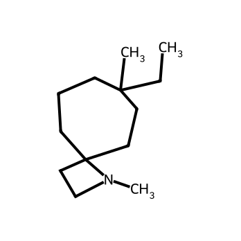 CCC1(C)CCCC2(CCN2C)CC1